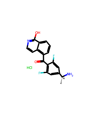 C[C@@H](N)c1cc(F)c(C(=O)c2cccc3c(O)nccc23)c(F)c1.Cl